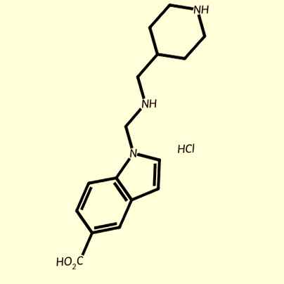 Cl.O=C(O)c1ccc2c(ccn2CNCC2CCNCC2)c1